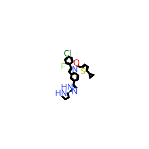 Fc1cc(Cl)cc2c1-c1cc3cc(-c4cnc([C@H]5CCCN5)[nH]4)ccc3n1C(c1ccc(C3CC3)s1)O2